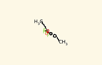 CCCCCCCC[C@H](OC(=O)c1ccc([C@H]2CC[C@H](CCCCC)CC2)cc1F)C(F)(F)F